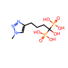 Cn1cc(CCCC(O)(P(=O)(O)O)P(=O)(O)O)nn1